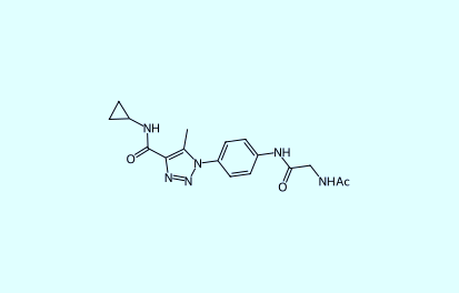 CC(=O)NCC(=O)Nc1ccc(-n2nnc(C(=O)NC3CC3)c2C)cc1